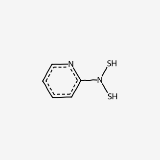 SN(S)c1ccccn1